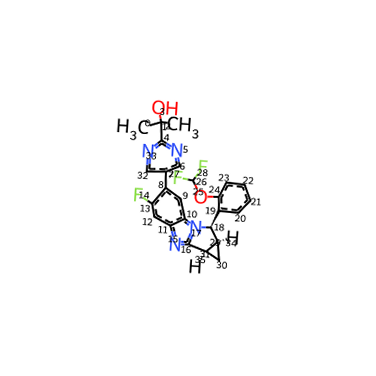 CC(C)(O)c1ncc(-c2cc3c(cc2F)nc2n3[C@@H](c3ccccc3OC(F)F)[C@H]3C[C@@H]23)cn1